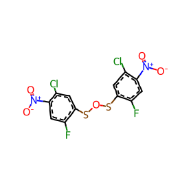 O=[N+]([O-])c1cc(F)c(SOSc2cc(Cl)c([N+](=O)[O-])cc2F)cc1Cl